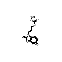 CC(C)(C)OC(=O)NCCCn1c(=O)oc2cc(Cl)ccc21